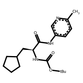 Cc1ccc(NC(=O)[C@H](CC2CCCC2)NC(=O)OC(C)(C)C)cn1